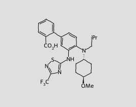 CO[C@H]1CC[C@H](N(CC(C)C)c2ccc(-c3ccccc3C(=O)O)cc2Nc2nc(C(F)(F)F)ns2)CC1